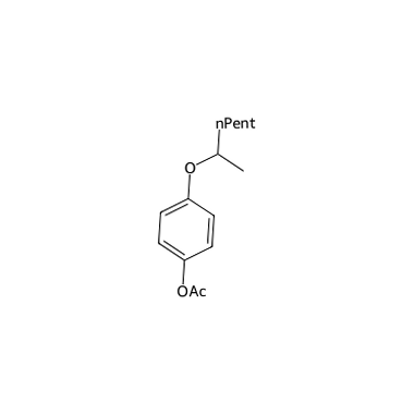 CCCCCC(C)Oc1ccc(OC(C)=O)cc1